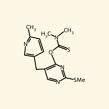 CSc1ncc(Cc2ccc(C)nc2)c(OC(=S)N(C)C)n1